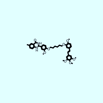 COc1cc(C2NC(=O)c3cc(C)ccc3N2)ccc1OCCCCCCOc1cc(C=Cc2cc(OC)c(OC)c(OC)c2)ccc1OC